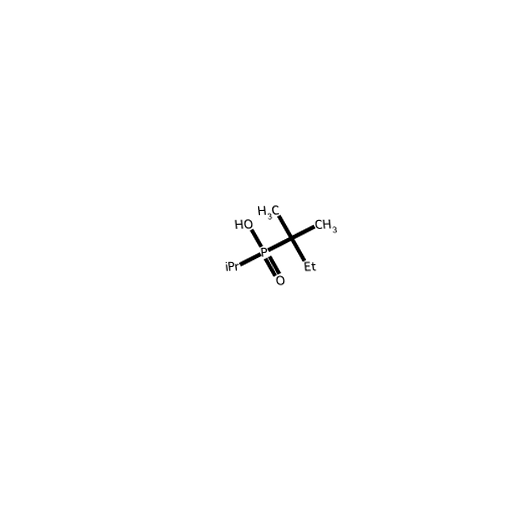 CCC(C)(C)P(=O)(O)C(C)C